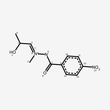 CC(O)/C=[N+](\C)[N-]C(=O)c1ccc([N+](=O)[O-])cc1